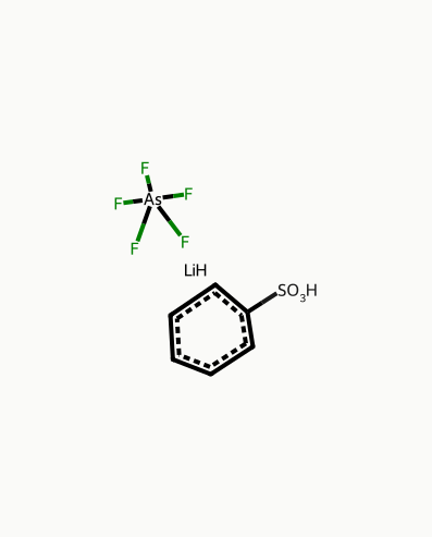 F[As](F)(F)(F)F.O=S(=O)(O)c1ccccc1.[LiH]